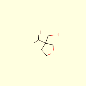 CC(C)C1(CO)CCOC1